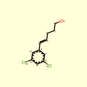 [O]CCCC=Cc1cc(Cl)cc(Cl)c1